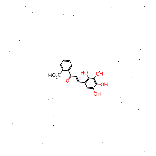 O=C(O)c1ccccc1C(=O)/C=C/c1cc(O)c(O)c(O)c1O